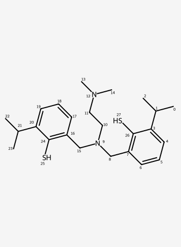 CC(C)c1cccc(CN(CCN(C)C)Cc2cccc(C(C)C)c2S)c1S